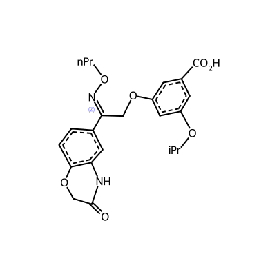 CCCO/N=C(\COc1cc(OC(C)C)cc(C(=O)O)c1)c1ccc2c(c1)NC(=O)CO2